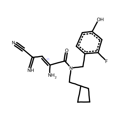 N#CC(=N)/C=C(\N)C(=O)N(Cc1ccc(O)cc1F)CC1CCC1